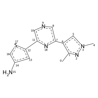 Cc1nn(C)cc1-c1cncc(-c2cc(N)cs2)n1